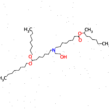 CCCCCCCCOC(CCCCCCN(CCO)CCCCCCCC(=O)OC(C)CCCCCC)OCCCCCCCC